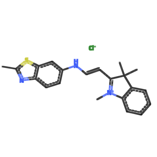 Cc1nc2ccc(NC=CC3=[N+](C)c4ccccc4C3(C)C)cc2s1.[Cl-]